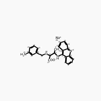 CC(Nc1c2ccccc2nc2ccccc12)C(OCc1cccc(N)c1)C(=O)[O-].[Na+]